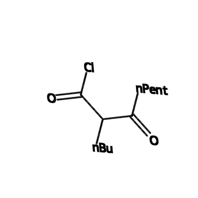 CCCCCC(=O)C(CCCC)C(=O)Cl